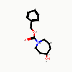 O=C(OCc1ccccc1)N1CCCC(O)CC1